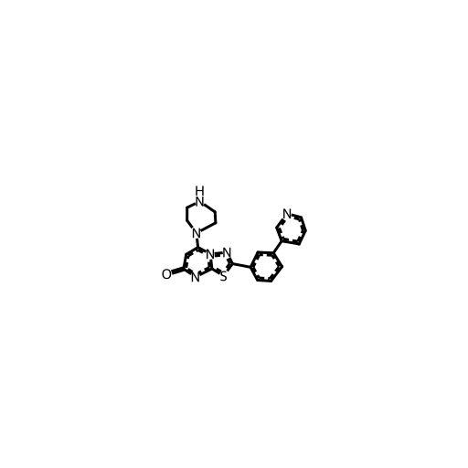 O=c1cc(N2CCNCC2)n2nc(-c3cccc(-c4cccnc4)c3)sc2n1